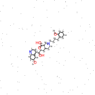 COc1ccc2nccc([C@H](O)CC[C@@H]3CCN(CCCCc4ccccc4OC)C[C@@H]3C(=O)O)c2c1